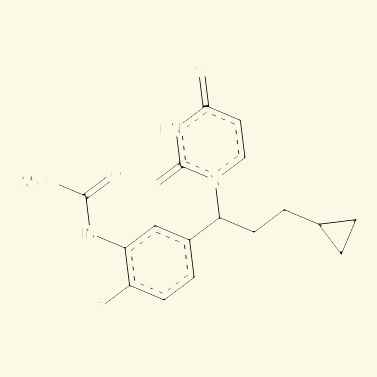 COC(=O)Nc1cc(C(CCC2CC2)n2ccc(=O)[nH]c2=O)ccc1F